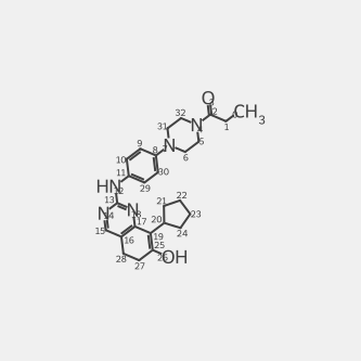 CCC(=O)N1CCN(c2ccc(Nc3ncc4c(n3)C(C3CCCC3)=C(O)CC4)cc2)CC1